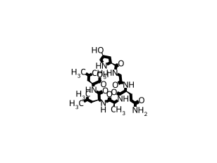 CC(C)C[C@H](NC(=O)[C@H](CC(C)C)NC(=O)[C@H](C)NC(=O)[C@H](CCC(N)=O)NC(=O)CNC(=O)[C@@H]1C[C@@H](O)CN1)C(=O)O